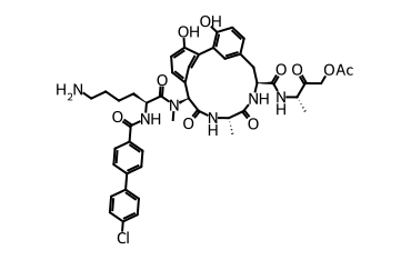 CC(=O)OCC(=O)[C@H](C)NC(=O)[C@@H]1Cc2ccc(O)c(c2)-c2cc(ccc2O)[C@H](N(C)C(=O)[C@H](CCCCN)NC(=O)c2ccc(-c3ccc(Cl)cc3)cc2)C(=O)N[C@@H](C)C(=O)N1